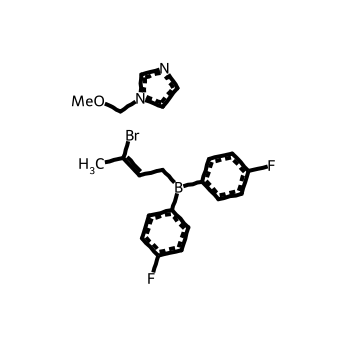 CC(Br)=CCB(c1ccc(F)cc1)c1ccc(F)cc1.COCn1ccnc1